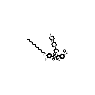 CCCCCCCCCCCCOc1ccc(S(=O)(=O)c2cnc3ccc([S+](C)[O-])cc3c2N2CCC(N3CCC(N4CCN(C)CC4)CC3)CC2)cc1F